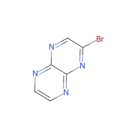 Brc1cnc2nccnc2n1